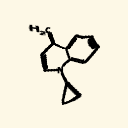 C=C1C=CN(C2CC2)c2ccccc21